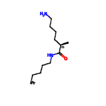 CC(C)CCCCNC(=O)[C@H](C)CCCCN